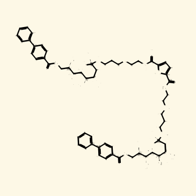 CC(=O)N[C@H]1[C@H]([C@H](O)[C@H](O)CNC(=O)c2ccc(-c3ccccc3)cc2)O[C@@](OCCCSCCNC(=O)c2ccc(C(=O)NCCSCCCO[C@]3(C(=O)O)C[C@H](O)[C@@H](NC(C)=O)[C@H]([C@H](O)[C@H](O)CNC(=O)c4ccc(-c5ccccc5)cc4)O3)s2)(C(=O)O)C[C@@H]1O